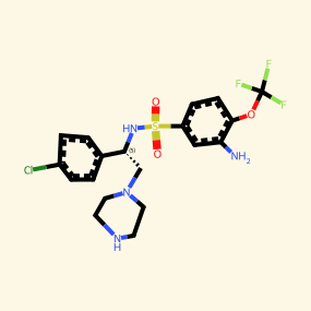 Nc1cc(S(=O)(=O)N[C@H](CN2CCNCC2)c2ccc(Cl)cc2)ccc1OC(F)(F)F